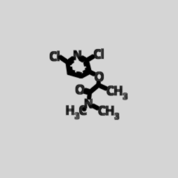 CC(Oc1ccc(Cl)nc1Cl)C(=O)N(C)C